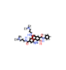 CCN(CC)CCCNC(=O)c1cc(/N=N\c2c(O)c(C(=O)Nc3ccccc3)cc3ccccc23)cc(C(=O)NCCCN(CC)CC)c1